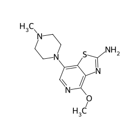 COc1ncc(N2CCN(C)CC2)c2sc(N)nc12